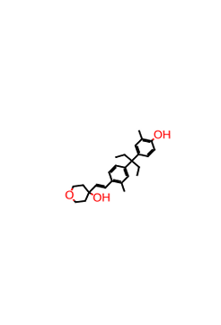 CCC(CC)(c1ccc(O)c(C)c1)c1ccc(C=CC2(O)CCOCC2)c(C)c1